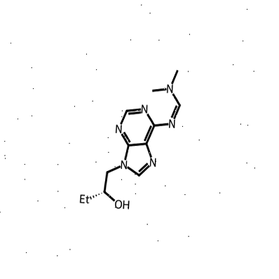 CC[C@@H](O)Cn1cnc2c(/N=C\N(C)C)ncnc21